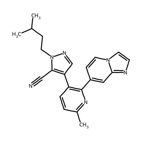 Cc1ccc(-c2cnn(CCC(C)C)c2C#N)c(-c2ccn3ccnc3c2)n1